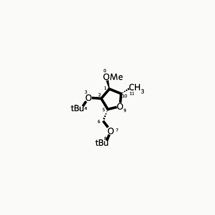 CO[C@@H]1C(OC(C)(C)C)[C@@H](COC(C)(C)C)O[C@H]1C